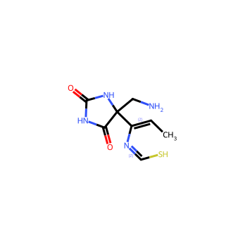 C/C=C(\N=C/S)C1(CN)NC(=O)NC1=O